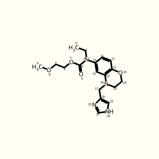 CCN(C(=O)OCCOC)c1ccc2c(c1)N(Cc1c[nH]cn1)CCO2